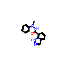 CN(NC(=O)c1cccc2cn[nH]c12)c1ccccc1